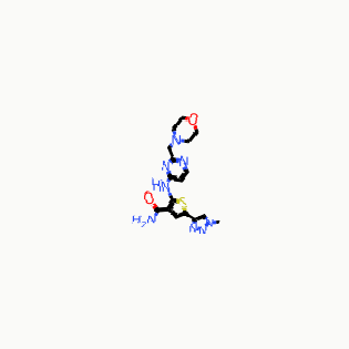 Cn1cc(-c2cc(C(N)=O)c(Nc3ccnc(CN4CCOCC4)n3)s2)nn1